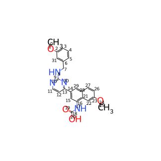 COc1cccc(CNc2nccc(-c3cc(NC(=O)O)c4cc(OC)ccc4c3)n2)c1